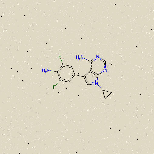 Nc1c(F)cc(-c2cn(C3CC3)c3ncnc(N)c23)cc1F